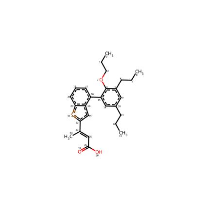 CCCOc1c(CCC)cc(CCC)cc1-c1cccc2sc(C(C)=CC(=O)O)cc12